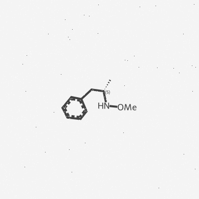 CON[C@@H](C)Cc1ccccc1